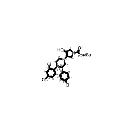 CC(C)(C)OC(=O)N1CC(O)=C(N2CCN(c3ccc(Cl)cc3Cl)[C@H](c3ccc(Cl)cc3)C2)C1